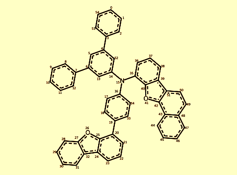 c1ccc(-c2cc(-c3ccccc3)cc(N(c3ccc(-c4cccc5c4oc4ccccc45)cc3)c3cccc4c3oc3c5ccccc5ccc43)c2)cc1